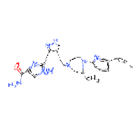 C[C@@H]1CN(Cc2c[nH]nc2-c2nc(C(N)=O)c[nH]2)CCN1c1ccc(C(F)(F)F)cn1